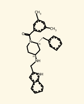 Cc1cc(C)cc(C(=O)N2CC[C@H](NCc3cc4ccccc4[nH]3)C[C@H]2Cc2ccccc2)c1